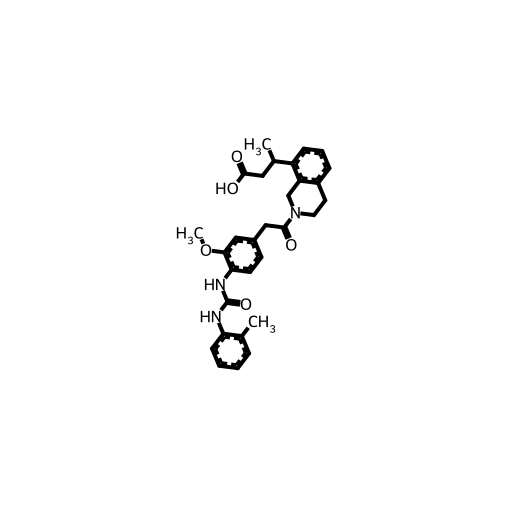 COc1cc(CC(=O)N2CCc3cccc(C(C)CC(=O)O)c3C2)ccc1NC(=O)Nc1ccccc1C